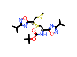 CSC[C@@H](SC[C@H](NC(=O)OC(C)(C)C)c1nc(C(C)C)no1)c1nc(C(C)C)no1